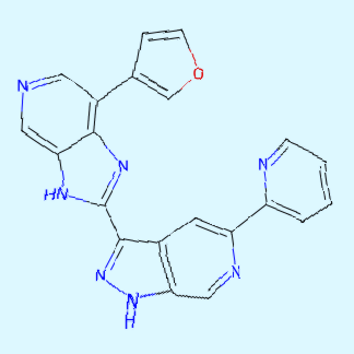 c1ccc(-c2cc3c(-c4nc5c(-c6ccoc6)cncc5[nH]4)n[nH]c3cn2)nc1